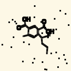 CCCC(F)c1cc(C)c(C(=O)O)cc1C(=O)O